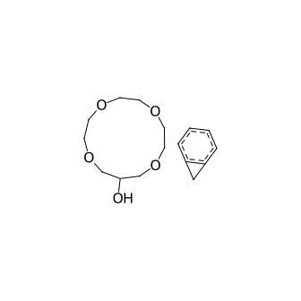 OC1COCCOCCOCCOC1.c1ccc2c(c1)C2